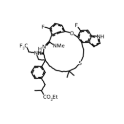 CCOC(=O)C(C)Cc1cccc(C2(CNCC(F)(F)F)CCCC(C)(C)CSCCc3c(c(F)cc4[nH]ccc34)Oc3ccc(F)c(c3)/C(NC)=N/C2=N)c1